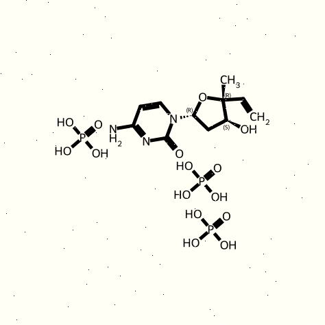 C=C[C@@]1(C)O[C@@H](n2ccc(N)nc2=O)C[C@@H]1O.O=P(O)(O)O.O=P(O)(O)O.O=P(O)(O)O